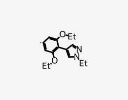 CCOc1c[c]cc(OCC)c1-c1cnn(CC)c1